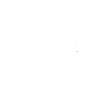 CCCCCCOc1cc(CNc2cn[nH]c(=O)c2Cl)ccc1OC